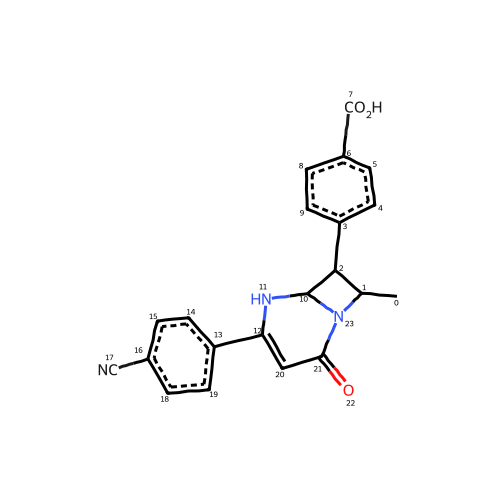 CC1C(c2ccc(C(=O)O)cc2)C2NC(c3ccc(C#N)cc3)=CC(=O)N12